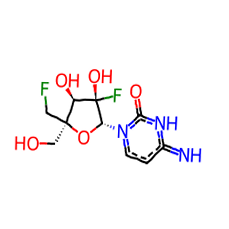 N=c1ccn([C@@H]2O[C@@](CO)(CF)[C@@H](O)[C@]2(O)F)c(=O)[nH]1